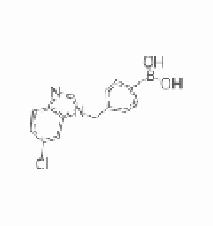 OB(O)c1ccc(Cn2cnc3ccc(Cl)cc32)cc1